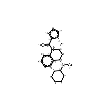 CC(=O)N(C1CCCCC1)[C@H]1C[C@@H](C)N(C(=O)c2cccs2)c2ccccc21